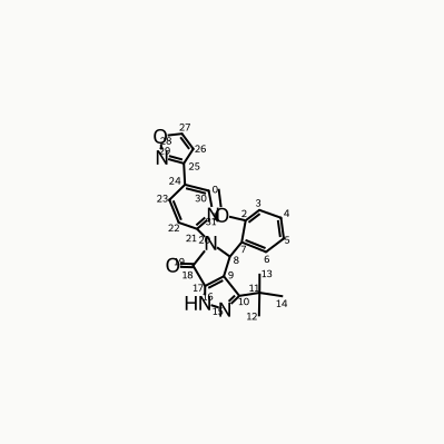 COc1ccccc1C1c2c(C(C)(C)C)n[nH]c2C(=O)N1c1ccc(-c2ccon2)cn1